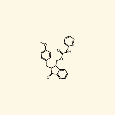 COc1ccc(CN2C(=O)c3ccccc3C2COC(=O)Nc2ccccn2)cc1